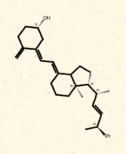 C=C1CC[C@H](O)C/C1=C\C=C1CCC[C@@]2(C)C1CC[C@@H]2[C@H](C)C=C[C@H](C)C(C)C